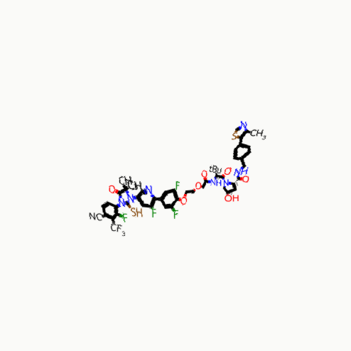 Cc1ncsc1-c1ccc(CNC(=O)[C@@H]2C[C@@H](O)CN2C(=O)[C@@H](NC(=O)COCCOc2c(F)cc(-c3ncc(N4C(S)N(c5ccc(C#N)c(C(F)(F)F)c5F)C(=O)C4(C)C)cc3F)cc2F)C(C)(C)C)cc1